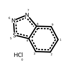 Cl.c1ccc2snnc2c1